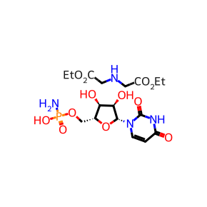 CCOC(=O)CNCC(=O)OCC.NP(=O)(O)OC[C@H]1O[C@@H](n2ccc(=O)[nH]c2=O)[C@H](O)[C@@H]1O